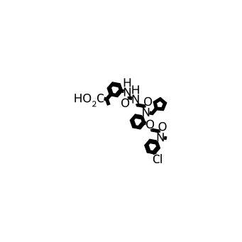 CC(C(=O)O)c1cccc(NC(=O)NCC(=O)N(CC2CCCC2)c2ccccc2OCC(=O)N(C)c2cccc(Cl)c2)c1